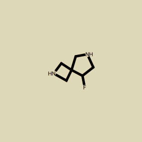 FC1CNCC12CNC2